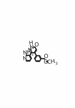 COC(=O)c1cccc(-c2cc(=O)[nH]nc2-c2cccnc2N)c1